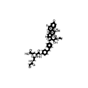 C[C@]12C=CC(=O)C=C1[C@@H](F)C[C@H]1[C@@H]3C[C@H]4O[C@@H](c5ccc(CC6CCC(NC(=O)[C@H](CCC(=O)O)NC(=O)CNC(=O)CBr)CC6)cc5)C([C@H](O)C(=O)SCF)C4[C@@]3(C)C[C@H](O)[C@@]12F